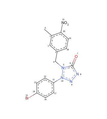 Cc1cc(Cn2c(=O)nnn2-c2ccc(Br)cc2)ccc1[N+](=O)[O-]